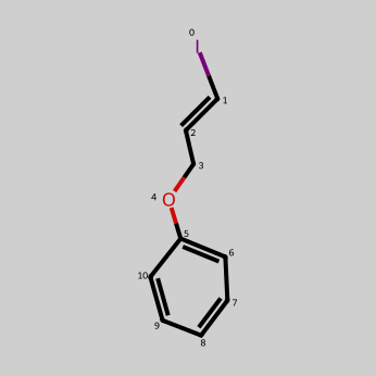 IC=CCOc1ccccc1